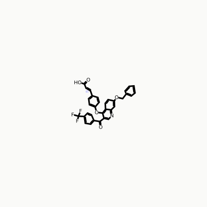 O=C(O)/C=C/c1ccc(Oc2c(C(=O)c3ccc(C(F)(F)F)cc3)cnc3cc(OCc4ccccc4)ccc23)cc1